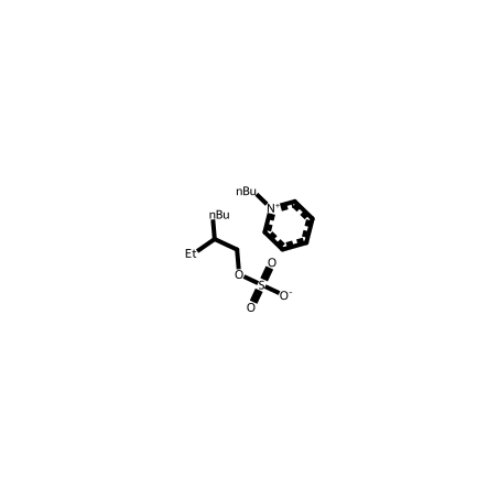 CCCCC(CC)COS(=O)(=O)[O-].CCCC[n+]1ccccc1